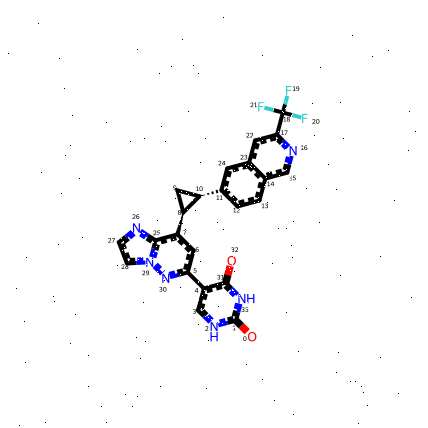 O=c1[nH]cc(-c2cc([C@H]3C[C@@H]3c3ccc4cnc(C(F)(F)F)cc4c3)c3nccn3n2)c(=O)[nH]1